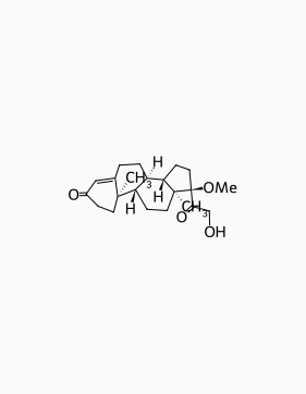 CO[C@]1(C(=O)CO)CC[C@H]2[C@@H]3CCC4=CC(=O)CC[C@]4(C)[C@H]3CC[C@@]21C